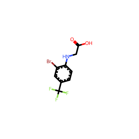 O=C(O)CNc1ccc(C(F)(F)F)cc1Br